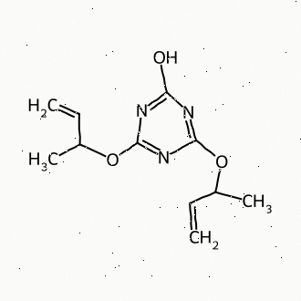 C=CC(C)Oc1nc(O)nc(OC(C)C=C)n1